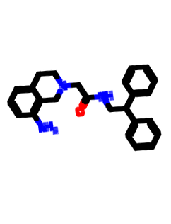 Nc1cccc2c1CN(CC(=O)NCC(c1ccccc1)c1ccccc1)CC2